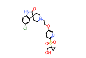 O=C1Nc2ccc(Cl)cc2C12CCN(CCOc1ccc(S(=O)(=O)C3(CO)CC3)nc1)CC2